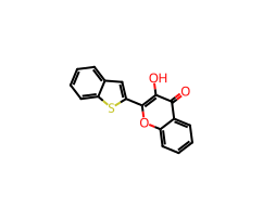 O=c1c(O)c(-c2cc3ccccc3s2)oc2ccccc12